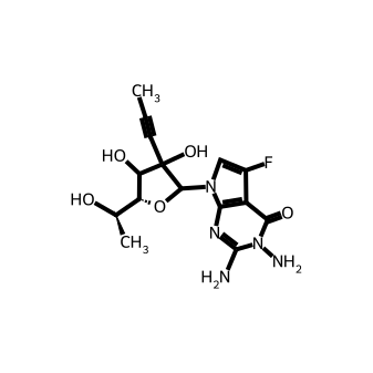 CC#CC1(O)C(O)[C@@H]([C@@H](C)O)OC1n1cc(F)c2c(=O)n(N)c(N)nc21